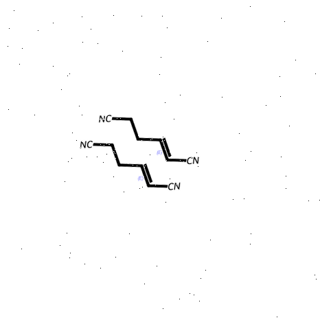 N#C/C=C/CCC#N.N#C/C=C/CCC#N